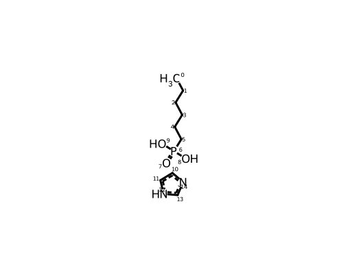 CCCCCCP(=O)(O)O.c1c[nH]cn1